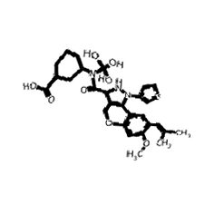 COc1cc2c(cc1C=C(C)C)C1=C(CO2)C(C(=O)N(C2CCCC(C(=O)O)C2)C(O)(O)O)NN1c1ccsc1